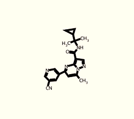 Cc1cc(-c2cncc(C#N)c2)nc2c(C(=O)NC(C)(C)C3CC3)cnn12